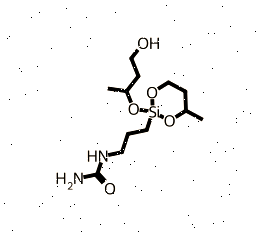 CC(CCO)O[Si]1(CCCNC(N)=O)OCCC(C)O1